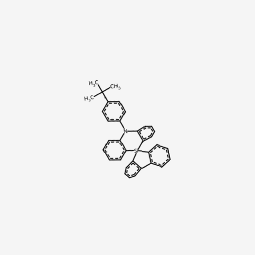 CC(C)(C)c1ccc(N2c3ccccc3[Si]3(c4ccccc4-c4ccccc43)c3ccccc32)cc1